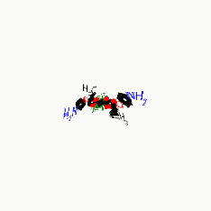 CCCc1cc(C(c2ccc(Oc3ccc(N)cc3)c(CCC)c2)(C(F)(F)F)C(F)(F)F)ccc1Oc1ccc(N)cc1